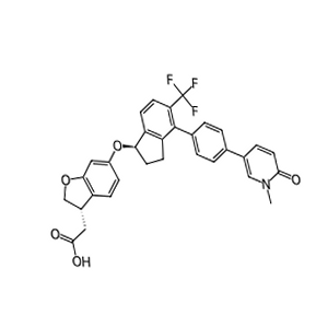 Cn1cc(-c2ccc(-c3c(C(F)(F)F)ccc4c3CC[C@H]4Oc3ccc4c(c3)OC[C@H]4CC(=O)O)cc2)ccc1=O